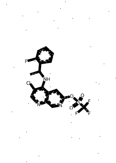 CC(Nc1c(Cl)cnc2cnc(OS(=O)(=O)C(F)(F)F)cc12)c1ccccc1F